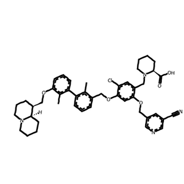 Cc1c(COc2cc(OCc3cncc(C#N)c3)c(CN3CCCC[C@H]3C(=O)O)cc2Cl)cccc1-c1cccc(OC[C@@H]2CCCN3CCCC[C@H]23)c1C